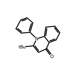 CC(C)(C)c1cc(=O)c2ccccc2n1-c1ccccc1